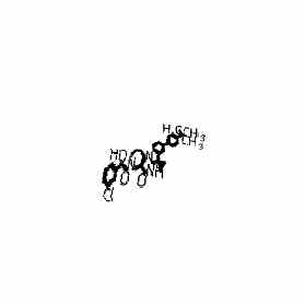 CC(C)(C)c1ccc(-c2cccc(C3(c4nc5c(c(=O)[nH]4)CN(C(=O)C(O)c4cccc(Cl)c4)CCC5)CC3)c2)cc1